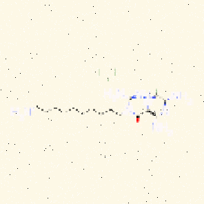 Cl.Cl.N=C(N)N(CCCCCCCCCCN)C(=O)c1nc(Cl)c(N)nc1N